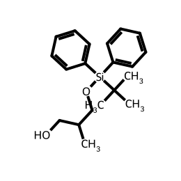 CC(CO)CO[Si](c1ccccc1)(c1ccccc1)C(C)(C)C